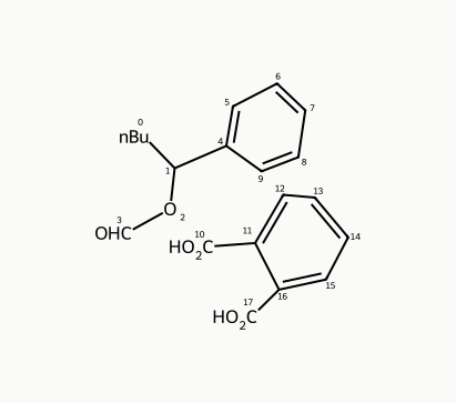 CCCCC(OC=O)c1ccccc1.O=C(O)c1ccccc1C(=O)O